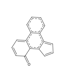 O=C1C=CC=c2c1c1c(c3ccccc23)=CC=C1